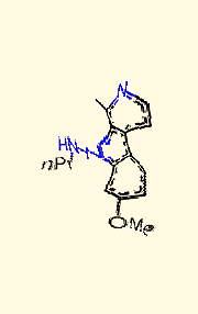 CCCNn1c2cc(OC)ccc2c2ccnc(C)c21